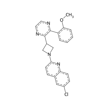 COc1ccccc1-c1nccnc1C1CN(c2ccc3cc(Cl)ccc3n2)C1